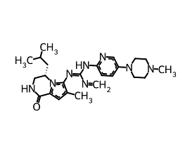 C=N/C(=N\c1c(C)cc2n1[C@@H](CC(C)C)CNC2=O)Nc1ccc(N2CCN(C)CC2)cn1